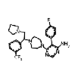 Nc1ncnc(N2CCN(C(CN3CCCC3)c3cccc(C(F)(F)F)c3)CC2)c1-c1ccc(F)cc1